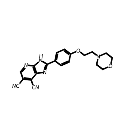 N#Cc1cnc2[nH]c(-c3ccc(OCCN4CCOCC4)cc3)nc2c1C#N